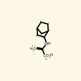 C=C(NC1CC2CCC1C2)C(=O)O